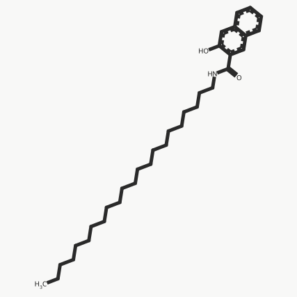 CCCCCCCCCCCCCCCCCCCCCCNC(=O)c1cc2ccccc2cc1O